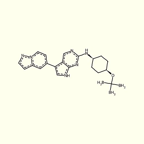 BC(B)(B)O[C@H]1CC[C@@H](Nc2ncc3c(-c4ccn5nccc5c4)c[nH]c3n2)CC1